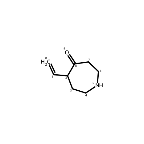 C=CC1CCNCCC1=O